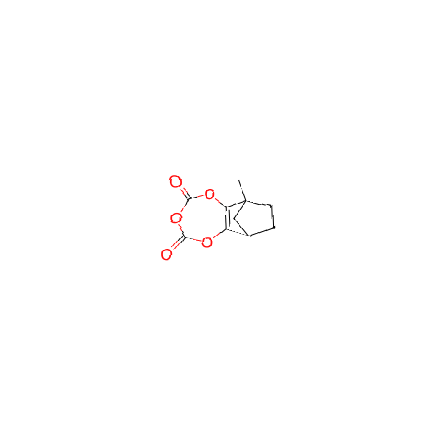 CC12CCC(C1)C1=C2OC(=O)OC(=O)O1